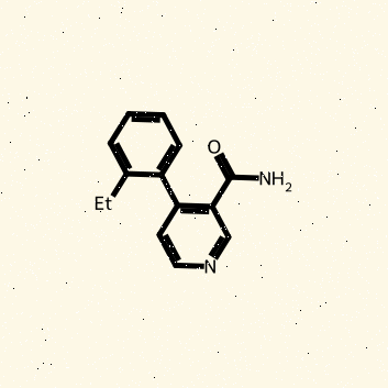 CCc1ccccc1-c1ccncc1C(N)=O